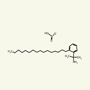 CCCCCCCCCCCCCCCCc1ccccc1C(C)(C)N.O=[N+]([O-])O